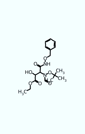 CCOC(=O)C(O)C(C(=O)NOCc1ccccc1)N(C=O)OC(C)(C)C